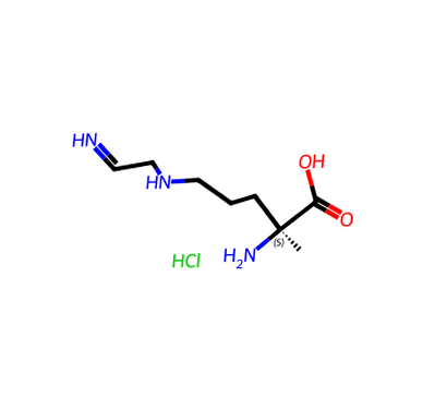 C[C@](N)(CCCNCC=N)C(=O)O.Cl